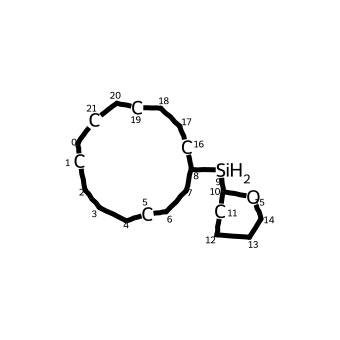 C1CCCCCCCC([SiH2]C2CCCCO2)CCCCCC1